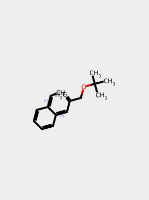 C=C(/C=c1/cccc/c1=C/C)COC(C)(C)C